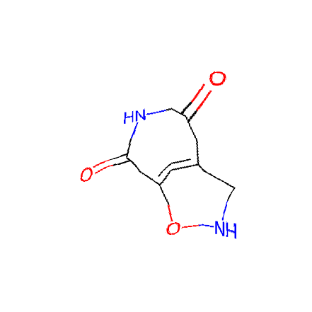 O=C1NC(=O)C2=C1CNO2